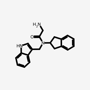 NCC(=O)N(Cc1c[nH]c2ccccc12)C1Cc2ccccc2C1